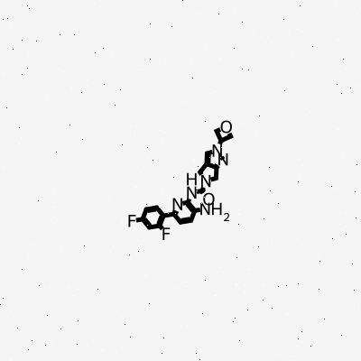 Nc1ccc(-c2ccc(F)cc2F)nc1NC(=O)N1Cc2cn(C3COC3)nc2C1